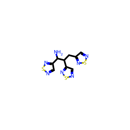 NC(c1cnsn1)C(Cc1cnsn1)c1cnsn1